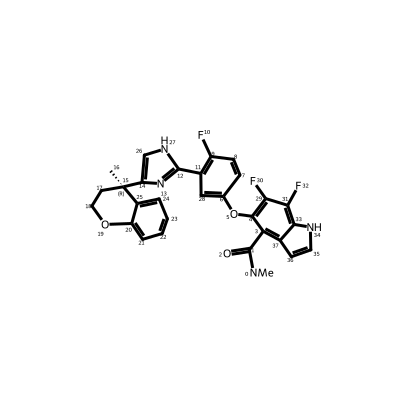 CNC(=O)c1c(Oc2ccc(F)c(-c3nc([C@]4(C)CCOc5ccccc54)c[nH]3)c2)c(F)c(F)c2[nH]ccc12